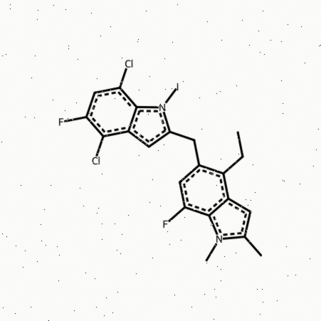 CCc1c(Cc2cc3c(Cl)c(F)cc(Cl)c3n2I)cc(F)c2c1cc(C)n2C